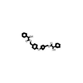 O=C(OCc1ccc(Oc2ccc(COC(=O)C(S)c3ccccc3)cc2)cc1)C(S)c1ccccc1